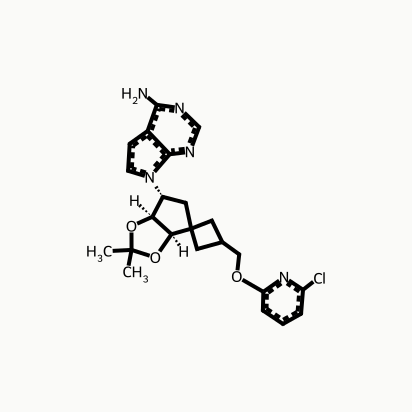 CC1(C)O[C@H]2[C@H](n3ccc4c(N)ncnc43)CC3(CC(COc4cccc(Cl)n4)C3)[C@H]2O1